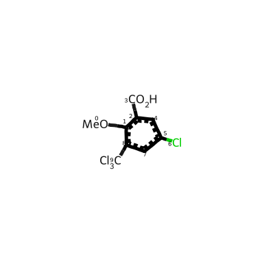 COc1c(C(=O)O)cc(Cl)cc1C(Cl)(Cl)Cl